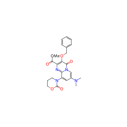 COC(=O)c1nc2c(N3CCCOC3=O)cc(N(C)C)cn2c(=O)c1OCc1ccccc1